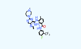 C=C/N=C1/C=NC(N2CCCN(C)CC2)=N/C1=C(/N)Nc1cc(C(=O)Nc2ccc(F)c(C(F)(F)F)c2)ccc1C